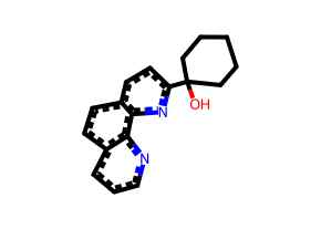 OC1(c2ccc3ccc4cccnc4c3n2)CCCCC1